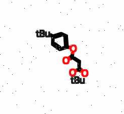 CC(C)(C)OC(=O)CC(=O)Oc1ccc(C(C)(C)C)cc1